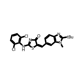 Cn1c(C(C)(C)C)nc2ccc(C=C3SC(Nc4c(Cl)cccc4Cl)=NC3=O)cc21